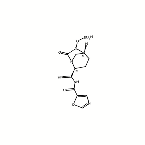 N=C(NC(=O)c1cnco1)[C@@H]1CC[C@@H]2CN1C(=O)N2OS(=O)(=O)O